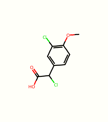 COc1ccc(C(Cl)C(=O)O)cc1Cl